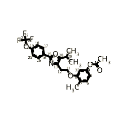 CC(=O)Oc1ccc(C)c(OCCc2nc(-c3ccc(OC(F)(F)F)cc3)oc2C(C)C)c1